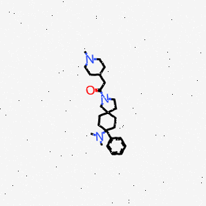 CN1CCC(CC(=O)N2CCC3(CCC(c4ccccc4)(N(C)C)CC3)C2)CC1